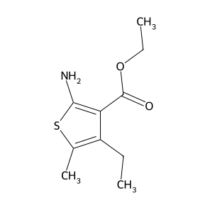 CCOC(=O)c1c(N)sc(C)c1CC